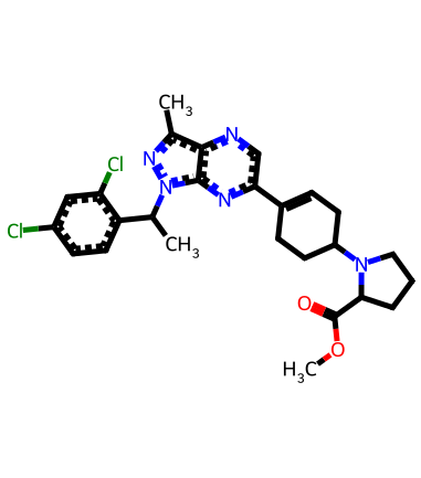 COC(=O)C1CCCN1C1CC=C(c2cnc3c(C)nn(C(C)c4ccc(Cl)cc4Cl)c3n2)CC1